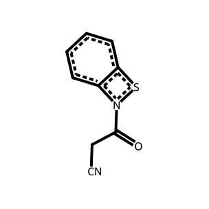 N#CCC(=O)n1sc2ccccc21